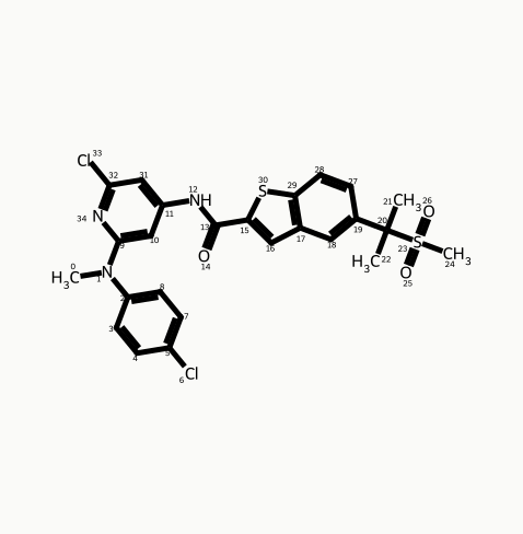 CN(c1ccc(Cl)cc1)c1cc(NC(=O)c2cc3cc(C(C)(C)S(C)(=O)=O)ccc3s2)cc(Cl)n1